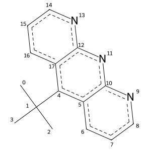 CC(C)(C)c1c2cccnc2nc2ncccc12